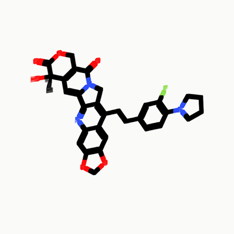 CC[C@@]1(O)C(=O)OCc2c1cc1n(c2=O)Cc2c-1nc1cc3c(cc1c2CCc1ccc(N2CCCC2)c(F)c1)OCO3